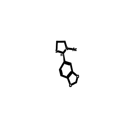 CC(=O)N1CCS[C@@H]1c1ccc2c(c1)OCO2